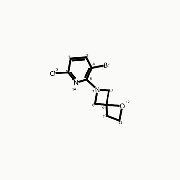 Clc1ccc(Br)c(N2CC3(CCO3)C2)n1